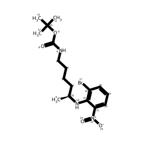 C[C@@H](CCCCNC(=O)OC(C)(C)C)Nc1c(Br)cccc1[N+](=O)[O-]